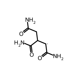 NC(=O)[CH]C(CC(N)=O)C(N)=O